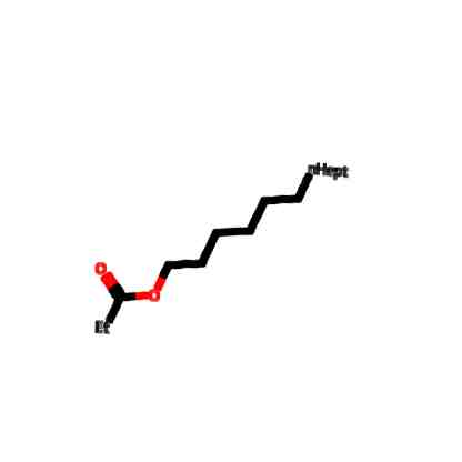 CCCCCCCCCCCCCOC(=O)CC